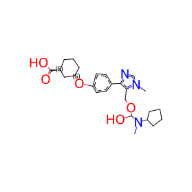 CN(C1CCCC1)C(O)OCc1c(-c2ccc(O[C@H]3CCC[C@H](C(=O)O)C3)cc2)ncn1C